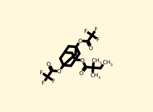 CCC(C)(C)C(=O)OC12CC3CC(OC(=O)C(F)(F)F)(CC(OC(=O)C(F)(F)F)(C3)C1)C2